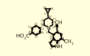 C#Cc1cc(C)c2[nH]ccc2c1CN1CCC(C2CC2)C[C@H]1c1ccc(C(=O)O)cc1